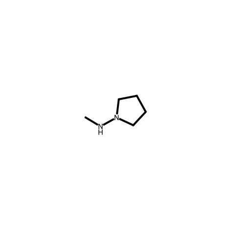 CNN1CCCC1